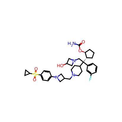 NC(=O)O[C@H]1CCC[C@@H]1C(CN1CC(O)C1)(c1cccc(F)c1)C1CCN(CC2CN(c3ccc(S(=O)(=O)C4CC4)cc3)C2)CC1